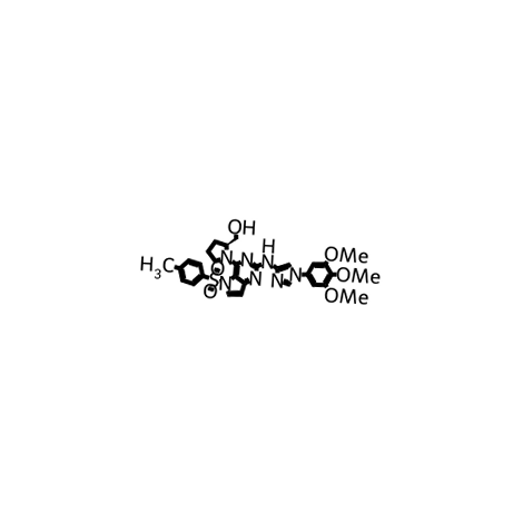 COc1cc(-n2cnc(Nc3nc(N4CCC[C@H]4CO)c4c(ccn4S(=O)(=O)c4ccc(C)cc4)n3)c2)cc(OC)c1OC